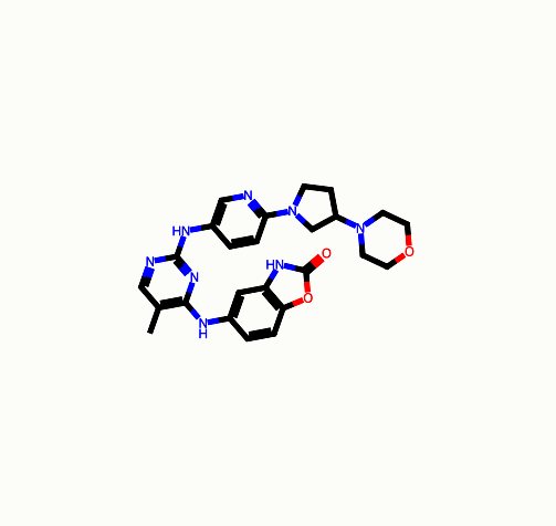 Cc1cnc(Nc2ccc(N3CCC(N4CCOCC4)C3)nc2)nc1Nc1ccc2oc(=O)[nH]c2c1